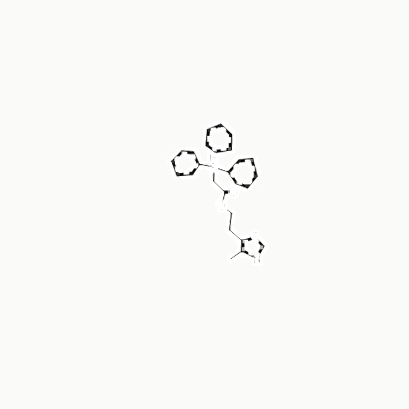 Cc1ncsc1CCOC(=O)C[PH](c1ccccc1)(c1ccccc1)c1ccccc1